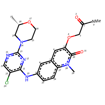 CNC(=O)COc1cc2cc(Nc3nc(N4CCO[C@@H](C)C4)ncc3Cl)ccc2n(C)c1=O